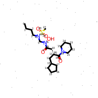 CCCCN(CN(O)C(=O)C[C@@H](CC1CCCC1)C(=O)N1CCCCC1)S(C)(=O)=O